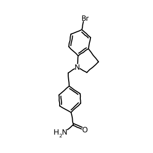 NC(=O)c1ccc(CN2CCc3cc(Br)ccc32)cc1